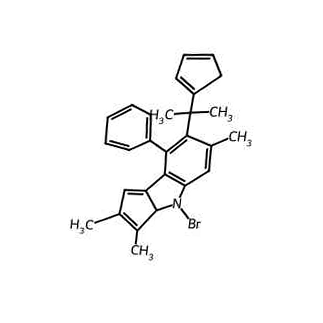 CC1=C(C)C2C(=C1)c1c(cc(C)c(C(C)(C)C3=CC=CC3)c1-c1ccccc1)N2Br